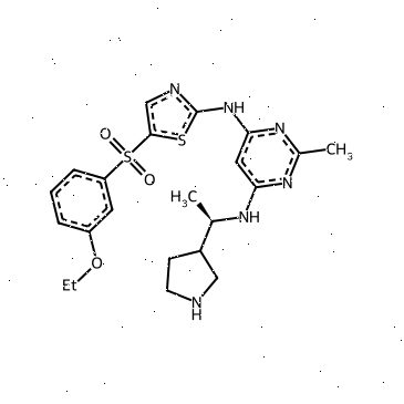 CCOc1cccc(S(=O)(=O)c2cnc(Nc3cc(N[C@H](C)C4CCNC4)nc(C)n3)s2)c1